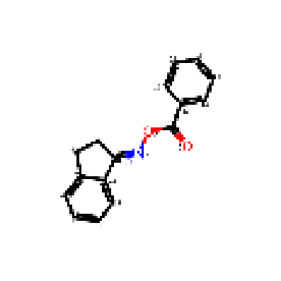 O=C(O/N=C1\CCc2ccccc21)c1ccccc1